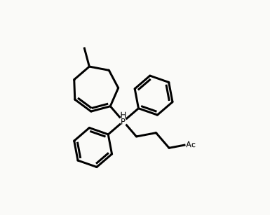 CC(=O)CCC[PH](C1=C=CCC(C)CC1)(c1ccccc1)c1ccccc1